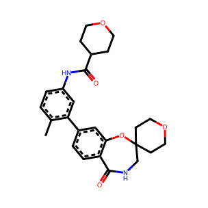 Cc1ccc(NC(=O)C2CCOCC2)cc1-c1ccc2c(c1)OC1(CCOCC1)CNC2=O